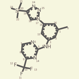 Cc1cc(Nc2nccc(C(F)(F)F)n2)cc(-n2cc([Si](C)(C)C)nn2)c1